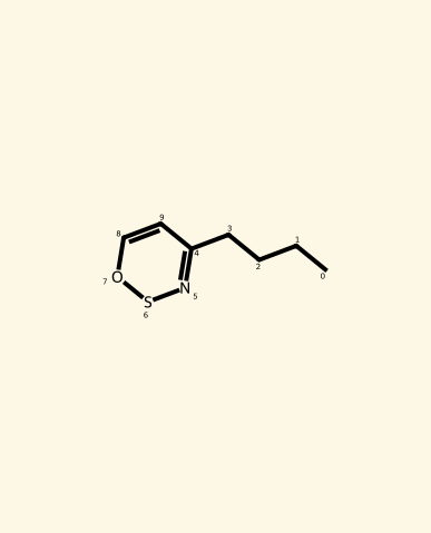 CCCCC1=NSOC=C1